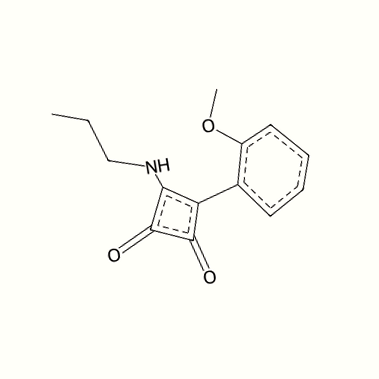 CCCNc1c(-c2ccccc2OC)c(=O)c1=O